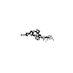 C[Si](C)(C)CCOCn1cc(-c2ccnc(N)c2)c2c(NCc3cccc(N4CC(O)C4)n3)ncnc21